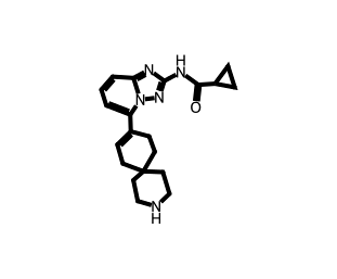 O=C(Nc1nc2cccc(C3=CCC4(CCNCC4)CC3)n2n1)C1CC1